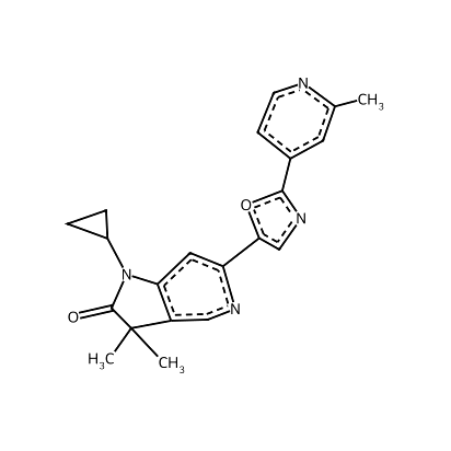 Cc1cc(-c2ncc(-c3cc4c(cn3)C(C)(C)C(=O)N4C3CC3)o2)ccn1